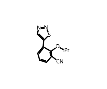 CC(C)Oc1c(C#N)cccc1-c1cnns1